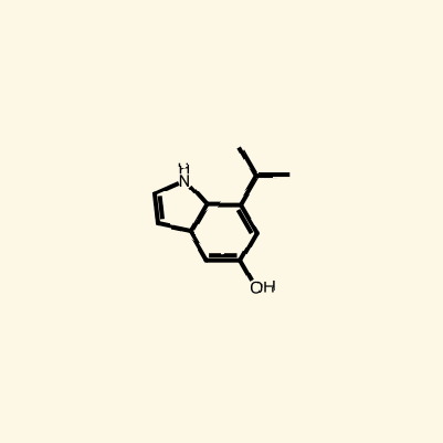 CC(C)C1=CC(O)=CC2C=CNC12